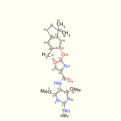 CCCNc1nc(OC)c(NC(=O)c2coc(Oc3cc4c(cc3C)CCC4(C)C)n2)c(OC)n1